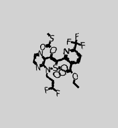 CCOC(=O)c1ccc(C(F)(F)F)nc1C1=C(OC(=O)SC)c2nccnc2N(CCC(F)F)S1(=O)=O